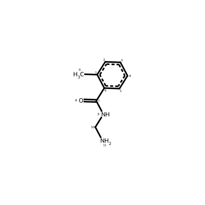 Cc1ccccc1C(=O)NCN